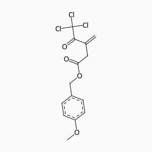 C=C(CC(=O)OCc1ccc(OC)cc1)C(=O)C(Cl)(Cl)Cl